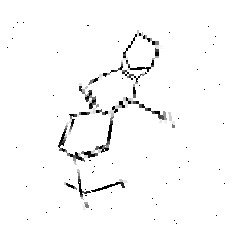 Nc1c2c(nc3ccc(C(F)(F)F)cc13)C1CCC2C1